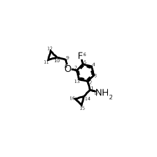 NC(c1ccc(F)c(OCC2CC2)c1)C1CC1